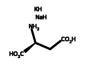 N[C@@H](CC(=O)O)C(=O)O.[KH].[NaH]